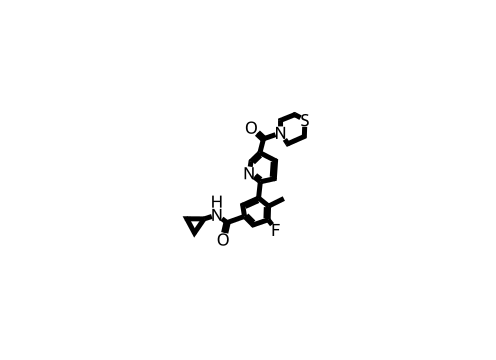 Cc1c(F)cc(C(=O)NC2CC2)cc1-c1ccc(C(=O)N2CCSCC2)cn1